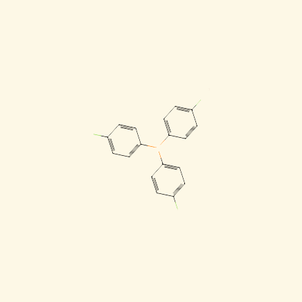 Br.Fc1ccc(P(c2ccc(F)cc2)c2ccc(F)cc2)cc1